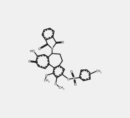 COc1c(OS(=O)(=O)c2ccc(C)cc2)cc2c(c1OC)-c1ccc(=O)c(O)cc1C(N1C(=O)c3ccccc3C1=O)CC2